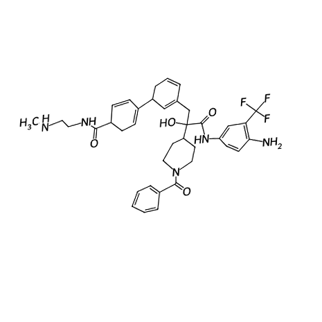 CNCCNC(=O)C1C=CC(C2C=C(CC(O)(C(=O)Nc3ccc(N)c(C(F)(F)F)c3)C3CCN(C(=O)c4ccccc4)CC3)C=CC2)=CC1